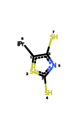 CC(C)c1sc(S)nc1S